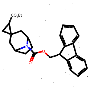 CCOC(=O)C1CC12CC1CCC(C2)N1C(=O)OCC1c2ccccc2-c2ccccc21